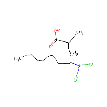 CC(C)C(=O)O.CCCCCCN(Cl)Cl